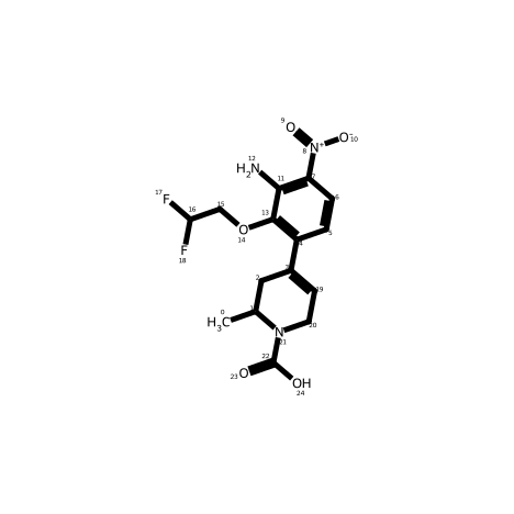 CC1CC(c2ccc([N+](=O)[O-])c(N)c2OCC(F)F)=CCN1C(=O)O